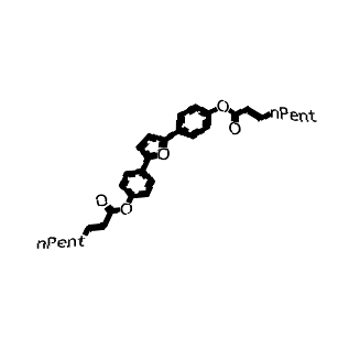 CCCCCC=CC(=O)Oc1ccc(-c2ccc(-c3ccc(OC(=O)C=CCCCCC)cc3)o2)cc1